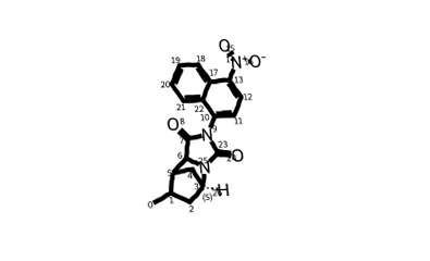 CC1C[C@H]2CC1C1C(=O)N(c3ccc([N+](=O)[O-])c4ccccc34)C(=O)N12